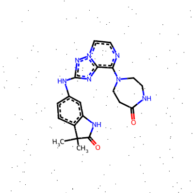 CC1(C)C(=O)Nc2cc(Nc3nc4c(N5CCNC(=O)CC5)nccn4n3)ccc21